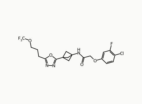 O=C(COc1ccc(Cl)c(F)c1)NC12CC(c3nnc(CCCOC(F)(F)F)o3)(C1)C2